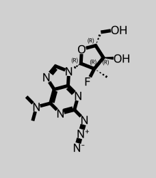 CN(C)c1nc(N=[N+]=[N-])nc2c1ncn2[C@@H]1O[C@H](CO)[C@@H](O)[C@@]1(C)F